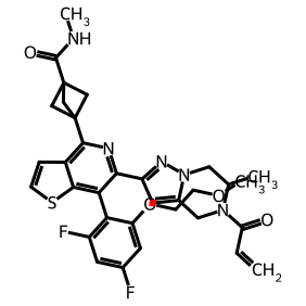 C=CC(=O)N1Cc2cc(-c3nc(C45CC(C(=O)NC)(C4)C5)c4ccsc4c3-c3c(F)cc(F)cc3OCCOC)nn2CC1C